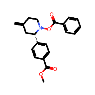 C=C1CCN(OC(=O)c2ccccc2)[C@H](c2ccc(C(=O)OC)cc2)C1